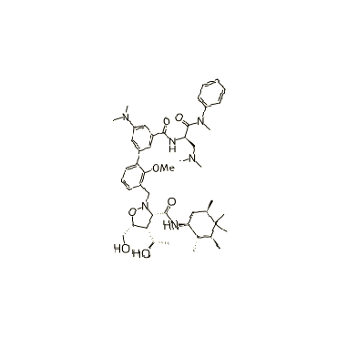 COc1c(CN2O[C@@H](CO)[C@@H]([C@H](C)O)[C@H]2C(=O)N[C@H]2C[C@@H](C)C(C)(C)[C@@H](C)[C@@H]2C)cccc1-c1cc(C(=O)N[C@H](CN(C)C)C(=O)N(C)c2ccccc2)cc(N(C)C)c1